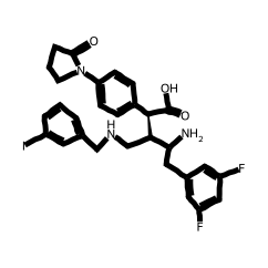 NC(Cc1cc(F)cc(F)c1)C(CNCc1cccc(I)c1)[C@H](C(=O)O)c1ccc(N2CCCC2=O)cc1